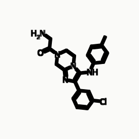 Cc1ccc(Nc2c(-c3cccc(Cl)c3)nc3n2CCN(C(=O)CN)C3)cc1